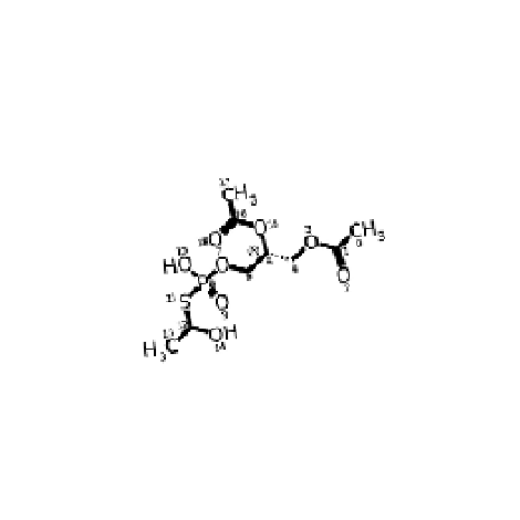 CC(=O)OC[C@H](COP(=O)(O)SC(C)O)OC(C)=O